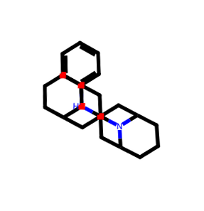 c1ccc(NC2CC3CCCC(C2)N3C2CC3CCCC(C3)C2)cc1